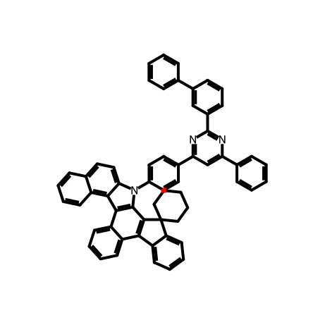 c1ccc(-c2cccc(-c3nc(-c4ccccc4)cc(-c4ccc(-n5c6ccc7ccccc7c6c6c7ccccc7c7c(c65)C5(CCCCC5)c5ccccc5-7)cc4)n3)c2)cc1